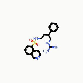 N=C(N)NCC(CCNS(=O)(=O)c1cccc2cnccc12)c1ccccc1